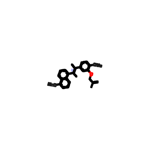 C=C(C)COc1cc(/C(C)=C(\C)c2cccc3c(OC)cccc23)ccc1OC